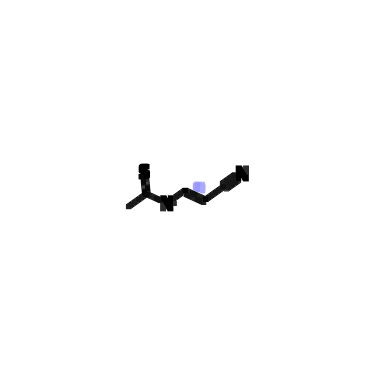 CC(=S)[N]/C=C/C#N